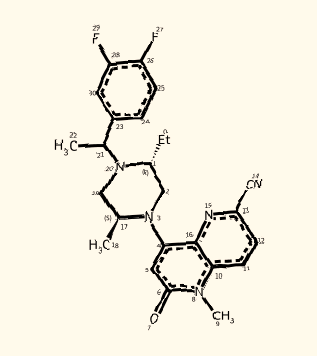 CC[C@@H]1CN(c2cc(=O)n(C)c3ccc(C#N)nc23)[C@@H](C)CN1C(C)c1ccc(F)c(F)c1